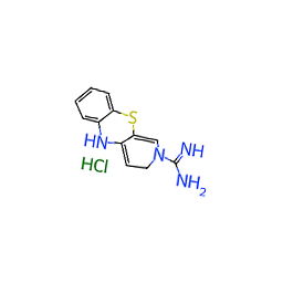 Cl.N=C(N)N1C=C2Sc3ccccc3NC2=CC1